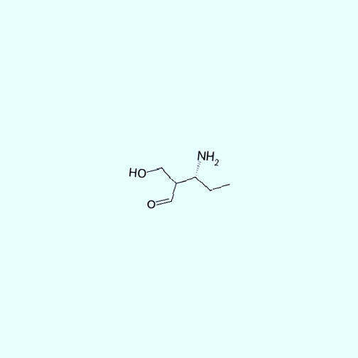 CC[C@@H](N)C(C=O)CO